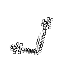 O.O.O.O.O.O.O.O.O.O.O.O.[Cl-].[Cl-].[Cl][Pt-]([Cl])([Cl])([Cl])([Cl])[Cl].[Cl][Pt-]([Cl])([Cl])([Cl])([Cl])[Cl].[Pt+4]